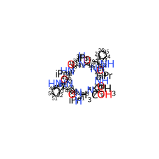 CC(C)C[C@H]1C/N=C(\C(C)(C)O)C(=O)N[C@H](C(C)C)C(=O)N[C@@H](Cc2c[nH]c3ccccc23)C(=O)N[C@H](CC(C)C)C(=O)N[C@@H](C(C)C)C(=O)N[C@H](Cc2c[nH]c3ccccc23)C(=O)N1